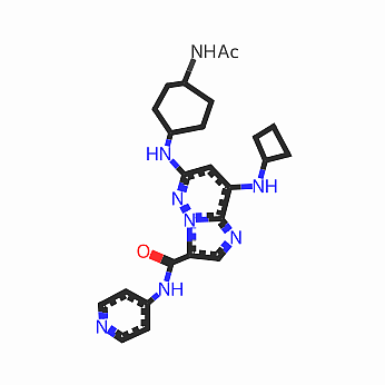 CC(=O)NC1CCC(Nc2cc(NC3CCC3)c3ncc(C(=O)Nc4ccncc4)n3n2)CC1